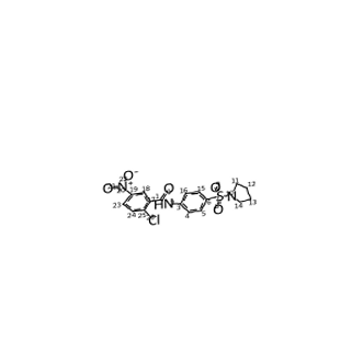 O=C(Nc1ccc(S(=O)(=O)N2CCCC2)cc1)c1cc([N+](=O)[O-])ccc1Cl